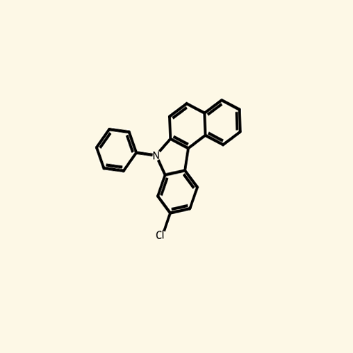 Clc1ccc2c3c4ccccc4ccc3n(-c3ccccc3)c2c1